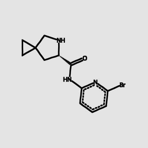 O=C(Nc1cccc(Br)n1)[C@@H]1CC2(CC2)CN1